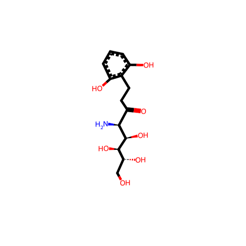 N[C@@H](C(=O)CCc1c(O)cccc1O)[C@@H](O)[C@H](O)[C@H](O)CO